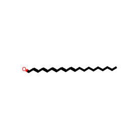 CCCCCCCCCC=CC=CC=CC=CC=CC=O